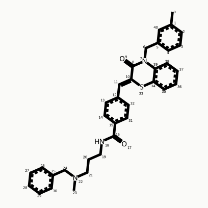 Cc1cccc(CN2C(=O)/C(=C/c3ccc(C(=O)NCCCN(C)Cc4ccccc4)cc3)Sc3ccccc32)c1